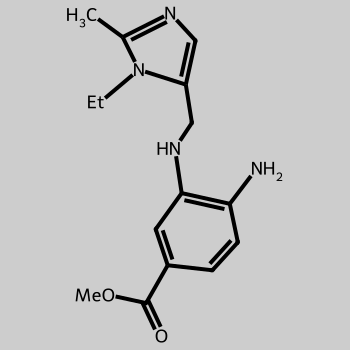 CCn1c(CNc2cc(C(=O)OC)ccc2N)cnc1C